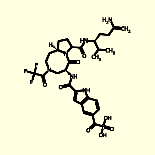 C=C(N)CC[C@H](NC(=O)[C@@H]1CC[C@@H]2CCN(C(=O)C(F)(F)F)C[C@H](NC(=O)c3cc4cc(C(=O)P(=O)(O)O)ccc4[nH]3)C(=O)N21)C(C)C